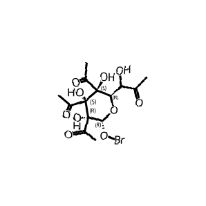 CC(=O)C(O)[C@H]1O[C@H](OBr)[C@@](O)(C(C)=O)[C@](O)(C(C)=O)[C@]1(O)C(C)=O